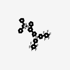 Fc1c(F)c(F)c(-c2ccc(N(c3ccc(-c4ccc5c(c4)c4ccccc4n5-c4nc(-c5ccccc5)cc(-c5ccccc5)n4)cc3)c3ccc(-c4c(F)c(F)c(F)c(F)c4F)cc3)cc2)c(F)c1F